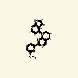 Cc1cccc(-c2ncc3c(n2)N(c2ccnc4[nH]ccc24)CCC3)n1